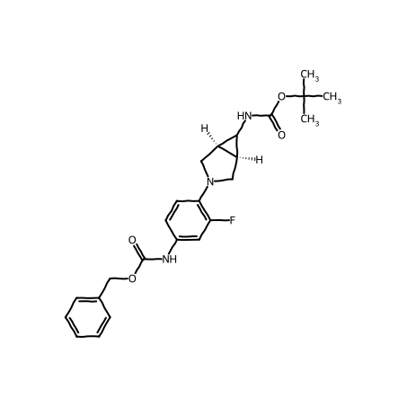 CC(C)(C)OC(=O)NC1[C@H]2CN(c3ccc(NC(=O)OCc4ccccc4)cc3F)C[C@@H]12